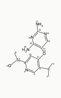 CC(C)c1cnc([S+](C)[O-])cc1Oc1cnc(N)nc1N